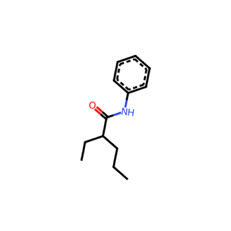 CCCC(CC)C(=O)Nc1ccccc1